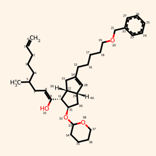 C=CCCCC(C)CC=C(O)[C@@H]1[C@@H]2CC(CCCCCOCc3ccccc3)=C[C@@H]2C[C@H]1OC1CCCCO1